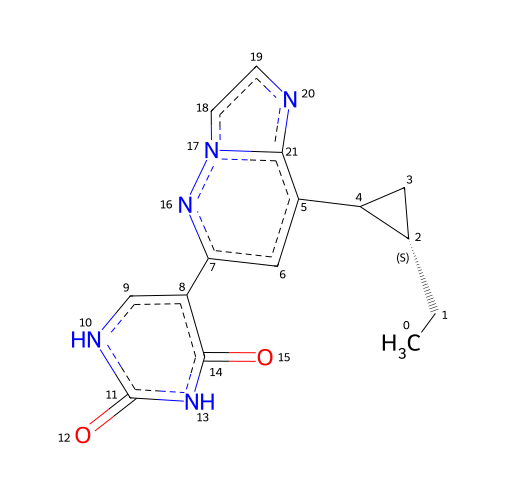 CC[C@H]1CC1c1cc(-c2c[nH]c(=O)[nH]c2=O)nn2ccnc12